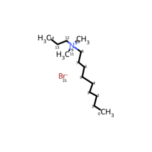 CCCCCCCCC[N+](C)(C)CCC.[Br-]